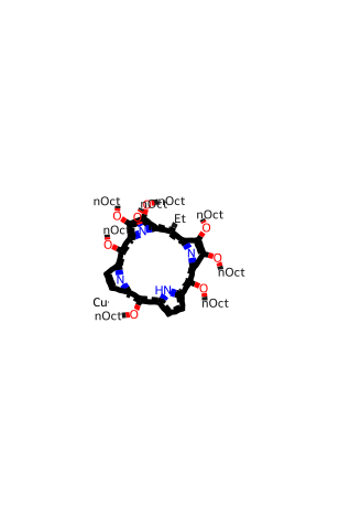 CCCCCCCCOC1=C(OCCCCCCCC)c2nc1c(OCCCCCCCC)c1ccc([nH]1)c(OCCCCCCCC)c1nc(c(OCCCCCCCC)c3c(OCCCCCCCC)c(OCCCCCCCC)c(c2CC)n3OCCCCCCCC)C=C1.[Cu]